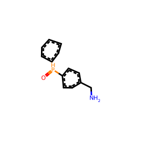 NCc1ccc([PH](=O)c2ccccc2)cc1